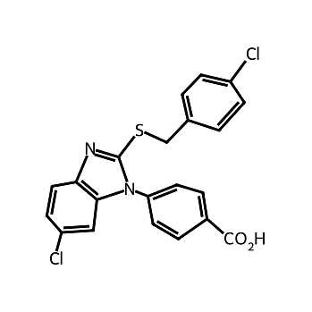 O=C(O)c1ccc(-n2c(SCc3ccc(Cl)cc3)nc3ccc(Cl)cc32)cc1